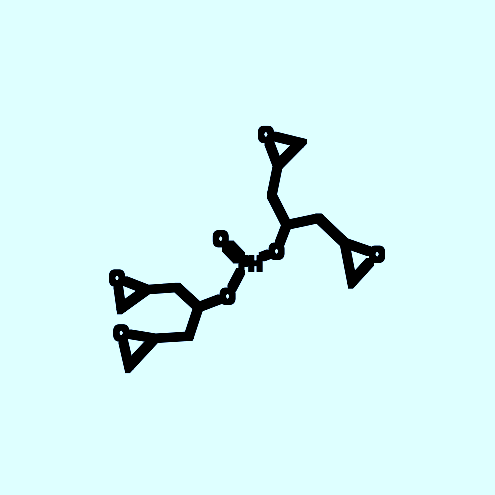 O=[PH](OC(CC1CO1)CC1CO1)OC(CC1CO1)CC1CO1